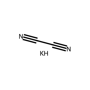 N#CC#N.[KH]